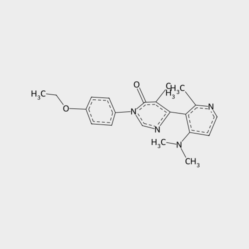 CCOc1ccc(-n2cnc(-c3c(N(C)C)ccnc3C)c(C)c2=O)cc1